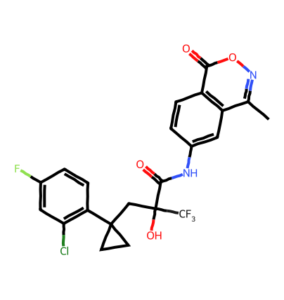 Cc1noc(=O)c2ccc(NC(=O)C(O)(CC3(c4ccc(F)cc4Cl)CC3)C(F)(F)F)cc12